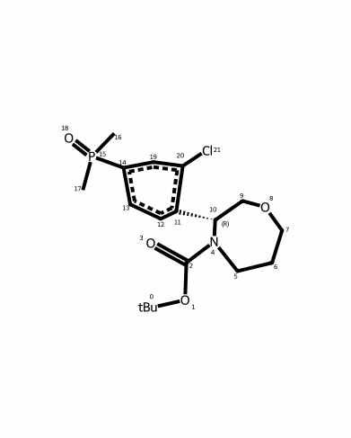 CC(C)(C)OC(=O)N1CCCOC[C@H]1c1ccc(P(C)(C)=O)cc1Cl